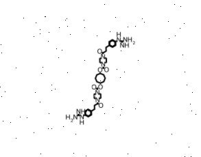 N=C(N)Nc1ccc(CCC(=O)N2CCN(C(=O)O[C@H]3CCC[C@@H](OC(=O)N4CCN(C(=O)CCc5ccc(NC(=N)N)cc5)CC4)CCC3)CC2)cc1